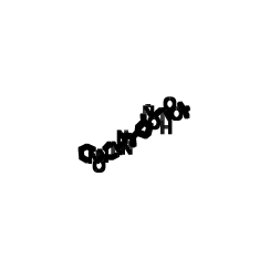 CN(Cc1cccc(-c2cnc(N3CCN(C(=O)N4CCCCC4)CC3)nc2)c1)C(=O)CNC(=O)OC(C)(C)C